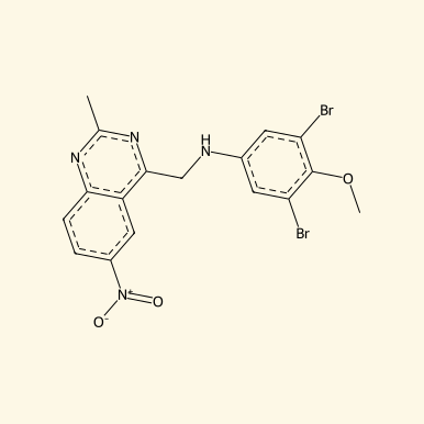 COc1c(Br)cc(NCc2nc(C)nc3ccc([N+](=O)[O-])cc23)cc1Br